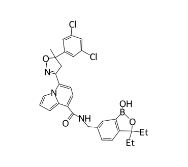 CCC1(CC)OB(O)c2cc(CNC(=O)c3ccc(C4=NOC(C)(c5cc(Cl)cc(Cl)c5)C4)n4cccc34)ccc21